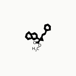 COC(=O)C1(c2ccc3ccccc3c2)CC1C=Cc1ccccc1